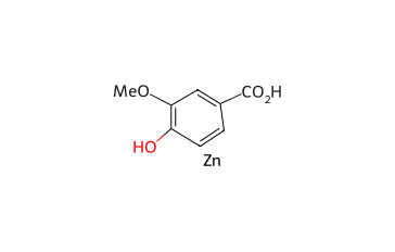 COc1cc(C(=O)O)ccc1O.[Zn]